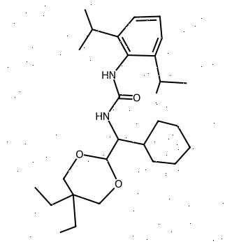 CCC1(CC)COC(C(NC(=O)Nc2c(C(C)C)cccc2C(C)C)C2CCCCC2)OC1